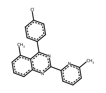 Cc1cccc(-c2nc(-c3ccc(Cl)cc3)c3c(C)cccc3n2)n1